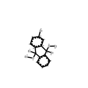 CCOC1(CC)c2ccccc2C(CC)(OCC)c2cc(CC)ccc21